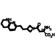 N[C@@H](CC(=O)N1CC(CCc2ccc3c(n2)NCCC3)C1)C(=O)O